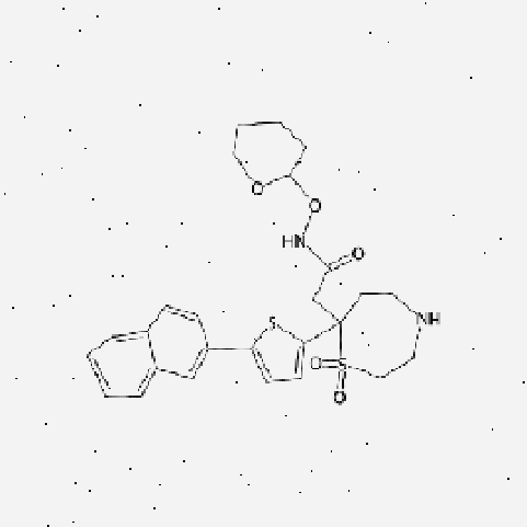 O=C(CC1(c2ccc(-c3ccc4ccccc4c3)s2)CCNCCS1(=O)=O)NOC1CCCCO1